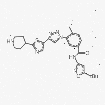 Cc1ccc(C(=O)Nc2cc(C(C)(C)C)on2)cc1-n1cc(-c2cnc(C3CCNCC3)s2)nn1